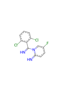 N=C(c1c(Cl)cccc1Cl)n1cc(F)ccc1=N